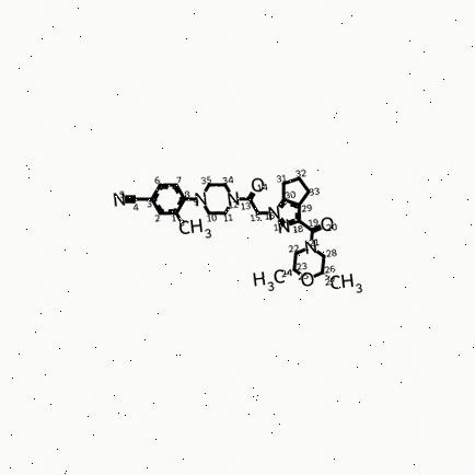 Cc1cc(C#N)ccc1N1CCN(C(=O)Cn2nc(C(=O)N3C[C@@H](C)O[C@@H](C)C3)c3c2CCC3)CC1